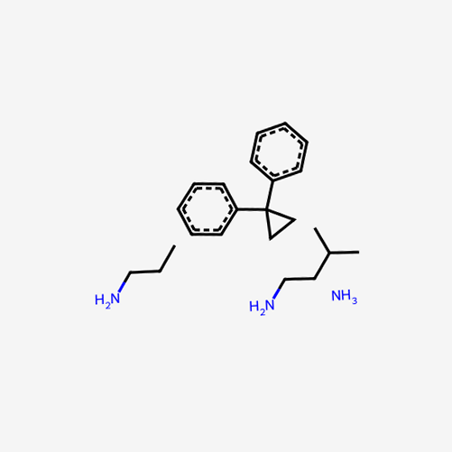 CC(C)CCN.CCCN.N.c1ccc(C2(c3ccccc3)CC2)cc1